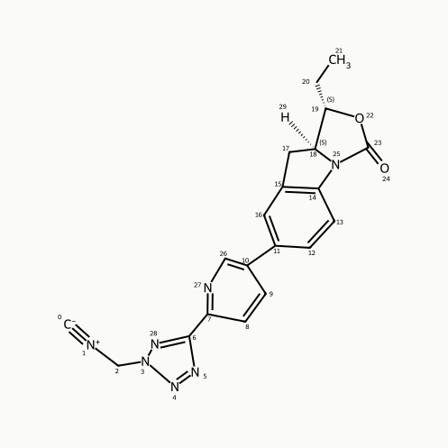 [C-]#[N+]Cn1nnc(-c2ccc(-c3ccc4c(c3)C[C@H]3[C@H](CC)OC(=O)N43)cn2)n1